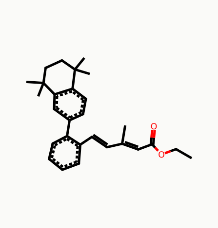 CCOC(=O)/C=C(C)/C=C/c1ccccc1-c1ccc2c(c1)C(C)(C)CCC2(C)C